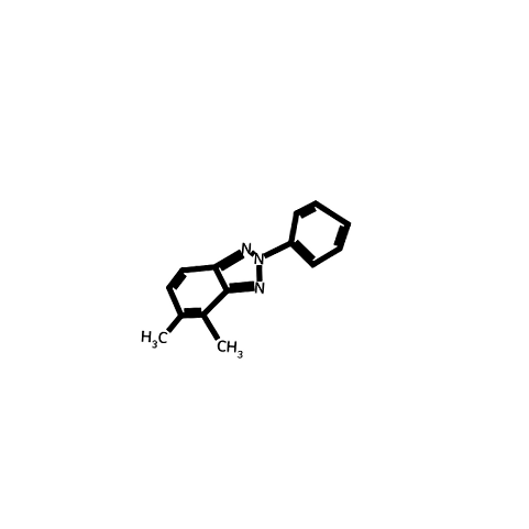 Cc1ccc2nn(-c3ccccc3)nc2c1C